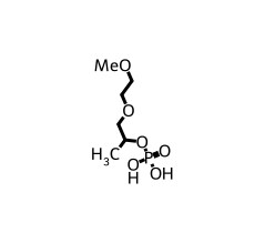 COCCOCC(C)OP(=O)(O)O